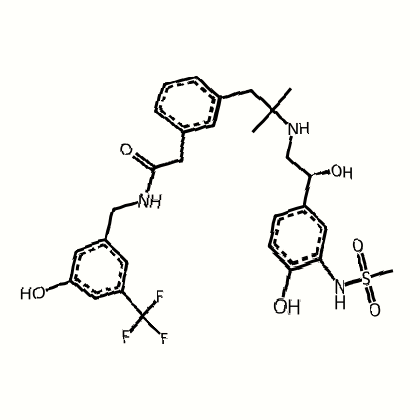 CC(C)(Cc1cccc(CC(=O)NCc2cc(O)cc(C(F)(F)F)c2)c1)NC[C@@H](O)c1ccc(O)c(NS(C)(=O)=O)c1